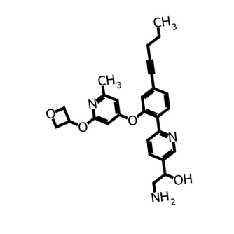 CCCC#Cc1ccc(-c2ccc(C(O)CN)cn2)c(Oc2cc(C)nc(OC3COC3)c2)c1